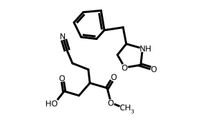 COC(=O)C(CCC#N)CC(=O)O.O=C1NC(Cc2ccccc2)CO1